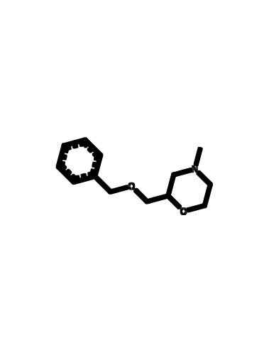 CN1CCOC(COCc2ccccc2)C1